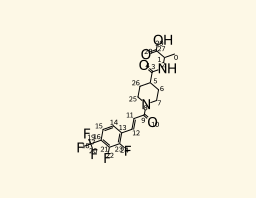 CC(NC(=O)C1CCN(C(=O)C=Cc2ccc(C(F)(F)F)c(F)c2F)CC1)C(=O)O